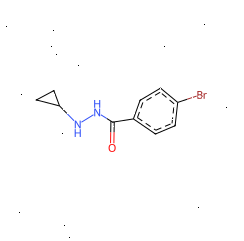 O=C(NNC1CC1)c1ccc(Br)cc1